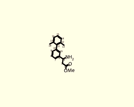 COC(=O)CC(N)c1cccc(-c2c(C)cccc2C)c1